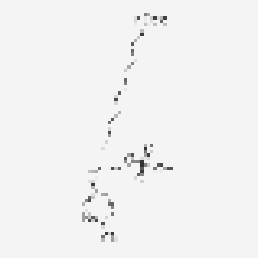 CCCCCCCCCCCCCCCCCCCC[C@H](COP(=O)(O)O)Oc1ccc(C#N)nc1